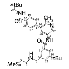 CSCCNCc1cc(C(=O)Nc2cnc(C)c(-c3ccc(C(=O)NCC(C)(C)C)cc3)c2)cc(C(C)(C)C)c1